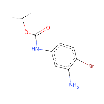 CC(C)OC(=O)Nc1ccc(Br)c(N)c1